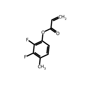 C=CC(=O)Oc1ccc(C)c(F)c1F